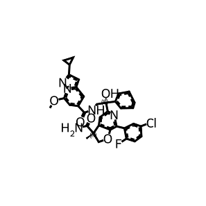 COc1cc(C(=O)NC[C@@](O)(c2ccccc2)c2cc3c(c(-c4cc(Cl)ccc4F)n2)OC[C@]3(C)C(N)=O)cc2cc(C3CC3)nn12